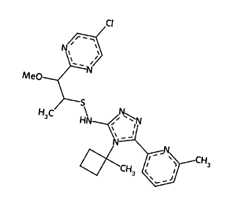 COC(c1ncc(Cl)cn1)C(C)SNc1nnc(-c2cccc(C)n2)n1C1(C)CCC1